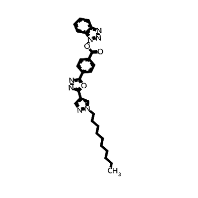 CCCCCCCCCCn1cc(-c2nnc(-c3ccc(C(=O)On4nnc5ccccc54)cc3)o2)cn1